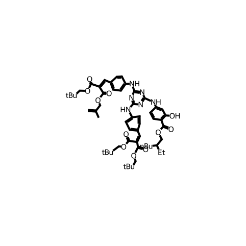 C=C(C)COC(=O)/C(=C\c1ccc(Nc2nc(Nc3ccc(C=C(C(=O)OCC(C)(C)C)C(=O)OCC(C)(C)C)cc3)nc(Nc3ccc(C(=O)OCC(CC)CCCC)c(O)c3)n2)cc1)C(=O)OCC(C)(C)C